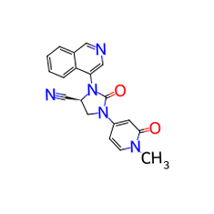 Cn1ccc(N2C[C@@H](C#N)N(c3cncc4ccccc34)C2=O)cc1=O